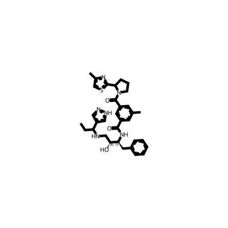 CCC(NC[C@@H](O)[C@H](Cc1ccccc1)NC(=O)c1cc(C)cc(C(=O)N2CCCC2c2nc(C)cs2)c1)c1cn[nH]c1